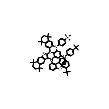 CC(C)(C)c1ccc(N(c2ccc(C(C)(C)C)cc2)c2cc3c4c(c2)N(c2cccc5oc6ccccc6c25)c2c(sc5cc6c(cc25)C(C)(C)CCC6(C)C)B4c2cc4c(cc2N3c2ccc([Si](C)(C)C)cc2)C(C)(C)CCC4(C)C)cc1